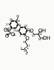 C[S+](C)CCOc1ccccc1OCC(O)CO.Cc1ccc(S(=O)(=O)[O-])cc1